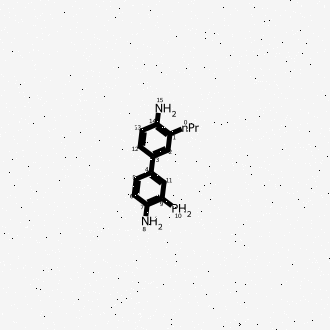 CCCc1cc(-c2ccc(N)c(P)c2)ccc1N